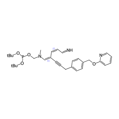 CN(/C=C(C#CCc1ccc(COc2ccccn2)cc1)\C=C/C=N)COP(OC(C)(C)C)OC(C)(C)C